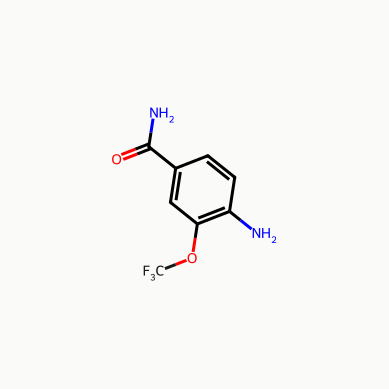 NC(=O)c1ccc(N)c(OC(F)(F)F)c1